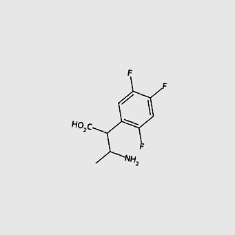 CC(N)C(C(=O)O)c1cc(F)c(F)cc1F